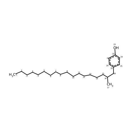 CCCCCCCCCCCCCCCCC(C)Cc1ccc(O)cc1